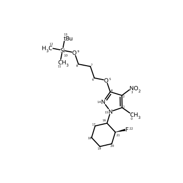 Cc1c([N+](=O)[O-])c(OCCCO[Si](C)(C)C(C)(C)C)nn1C1CCCC[C@@H]1F